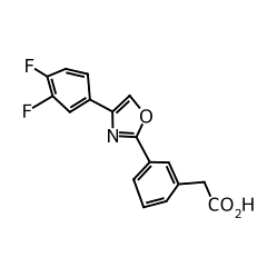 O=C(O)Cc1cccc(-c2nc(-c3ccc(F)c(F)c3)co2)c1